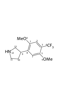 COc1cc(C(F)(F)F)c(OC)cc1C1CCNC1